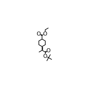 CCOC(=O)C1CCC(=C(C)C(=O)OC(C)(C)C)CC1